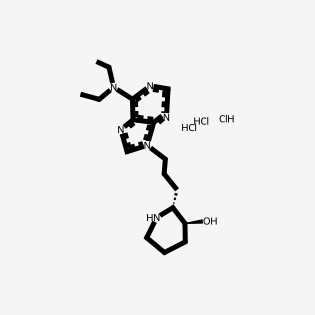 CCN(CC)c1ncnc2c1ncn2CCC[C@H]1NCCC[C@@H]1O.Cl.Cl.Cl